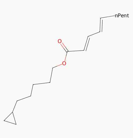 CCCCCC=CC=CC(=O)OCCCCCC1CC1